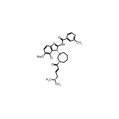 COc1ccc2nc(NC(=O)c3ccnc(C)c3)n([C@@H]3CCCCN(C(=O)C=CCN(C)C)C3)c2c1Cl